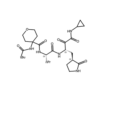 CCC[C@H](NC(=O)C1(NC(=O)C(C)(C)C)CCOCC1)C(=O)N[C@@H](C[C@@H]1CCNC1=O)C(=O)C(=O)NC1CC1